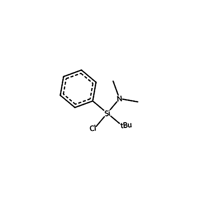 CN(C)[Si](Cl)(c1ccccc1)C(C)(C)C